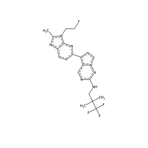 Cc1nc2ccc(-c3ccn4nc(NCC(C)(C)C(F)(F)F)ncc34)nc2n1CCF